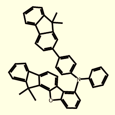 CC1(C)c2ccccc2-c2ccc(-c3ccc(N(c4ccccc4)c4cccc5oc6c7c(ccc6c45)-c4ccccc4C7(C)C)cc3)cc21